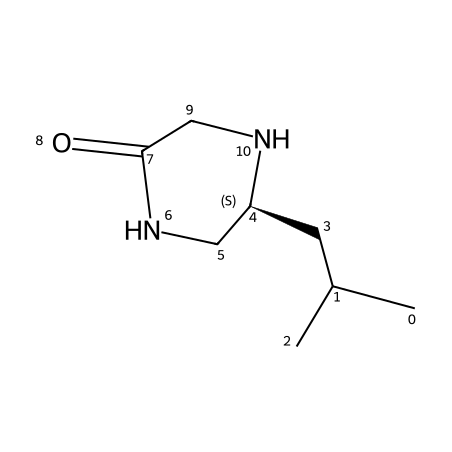 CC(C)C[C@H]1CNC(=O)CN1